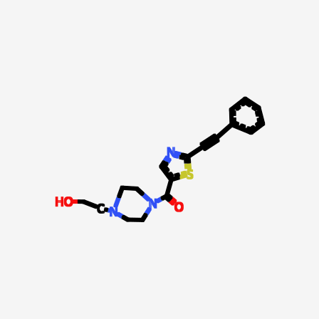 O=C(c1cnc(C#Cc2ccccc2)s1)N1CCN(CCO)CC1